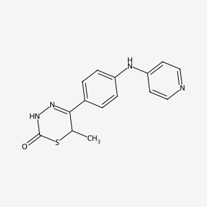 CC1SC(=O)NN=C1c1ccc(Nc2ccncc2)cc1